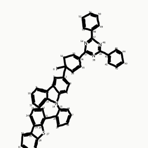 IC1(c2ccc3c(c2)c2ccccc2n3-c2ccccc2-c2cccc3c2sc2ccccc23)C=CC(c2nc(-c3ccccc3)nc(-c3ccccc3)n2)=CC1